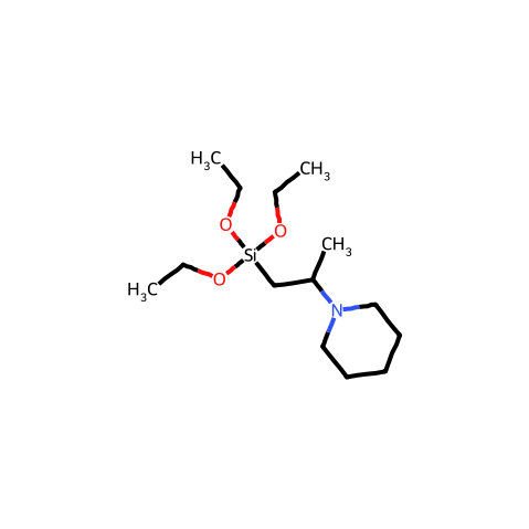 CCO[Si](CC(C)N1CCCCC1)(OCC)OCC